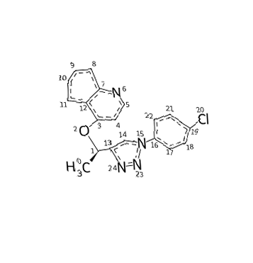 C[C@@H](Oc1ccnc2ccccc12)c1cn(-c2ccc(Cl)cc2)nn1